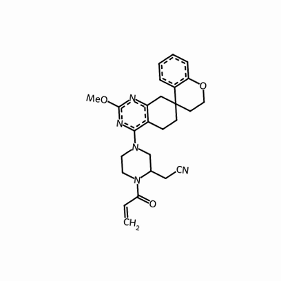 C=CC(=O)N1CCN(c2nc(OC)nc3c2CCC2(CCOc4ccccc42)C3)CC1CC#N